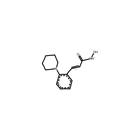 O=C(/C=C/c1ccccc1N1CCCCC1)NO